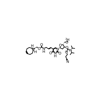 [2H]OC[C@H]1O[C@@H](n2cc(/C=C/CNC(=O)OC[C@@H]3[C@@H]4CCC#CCC[C@@H]43)c(=O)[nH]c2=O)CC1OP(OCCC#N)N(C(C)C)C(C)C